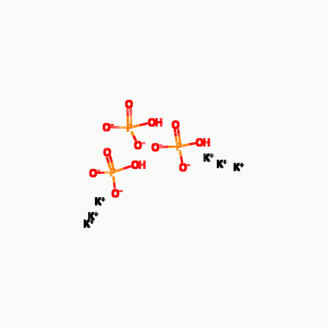 O=P([O-])([O-])O.O=P([O-])([O-])O.O=P([O-])([O-])O.[K+].[K+].[K+].[K+].[K+].[K+]